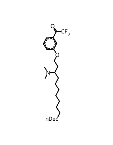 CCCCCCCCCCCCCCCCCC(CCOc1cccc(C(=O)C(F)(F)F)c1)N(C)C